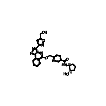 O=C(N[C@H]1CCC[C@@H]1O)c1ccc(COc2nn3c(-c4cc(CO)on4)nnc3c3ccccc23)nc1